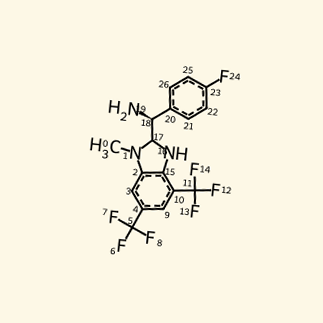 CN1c2cc(C(F)(F)F)cc(C(F)(F)F)c2NC1[C@@H](N)c1ccc(F)cc1